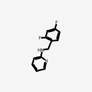 Fc1ccc(CNc2ccccn2)c(F)c1